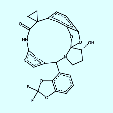 O=C1Nc2ncc(s2)C(c2cccc3c2OC(F)(F)O3)N2CC[C@@H](O)C23Oc2ccc(cc2O3)C12CC2